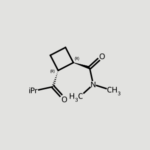 CC(C)C(=O)[C@@H]1CC[C@H]1C(=O)N(C)C